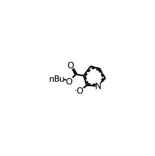 CCCCOC(=O)c1cccnc1[O]